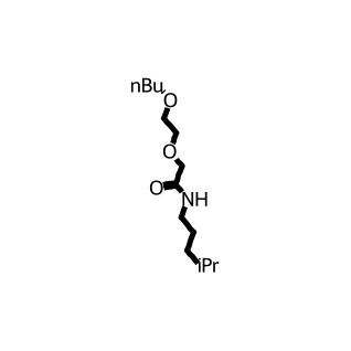 CCCCOCCOCC(=O)NCCCC(C)C